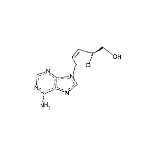 Nc1ncnc2c1ncn2C1C=C[C@@H](CO)O1